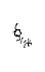 COc1ccc(S(C)(C)OS(=O)(=O)C(F)(F)F)cc1